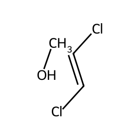 CO.ClC=CCl